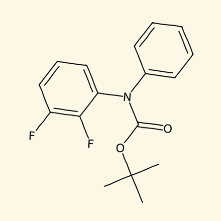 CC(C)(C)OC(=O)N(c1ccccc1)c1cccc(F)c1F